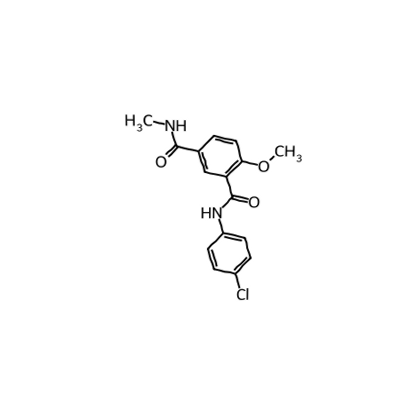 CNC(=O)c1ccc(OC)c(C(=O)Nc2ccc(Cl)cc2)c1